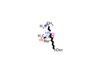 CC(O)C(=O)[O-].CCCCCCCCCCCCCCCCCC(=O)NCCCN(C)C.[Na+]